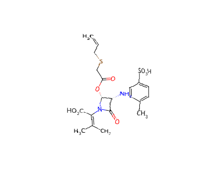 C=CCSCC(=O)O[C@@H]1[C@H](N)C(=O)N1C(C(=O)O)=C(C)C.Cc1ccc(S(=O)(=O)O)cc1